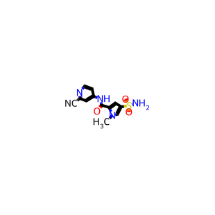 Cn1cc(S(N)(=O)=O)cc1C(=O)Nc1ccnc(C#N)c1